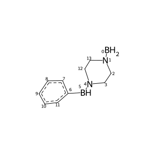 BN1CCN(Bc2ccccc2)CC1